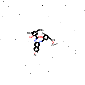 CC(=O)[O-].CC(=O)[O-].CC(C)(C)Cc1cc(C=Nc2cc3ccccc3cc2N=Cc2cc(CC(C)(C)C)cc(C(C)(C)C)c2O)c(O)c(C(C)(C)C)c1.[Co+2]